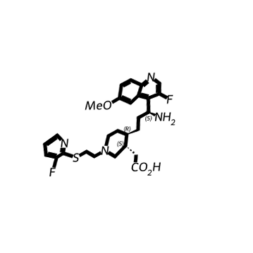 COc1ccc2ncc(F)c([C@@H](N)CC[C@@H]3CCN(CCSc4ncccc4F)C[C@H]3CC(=O)O)c2c1